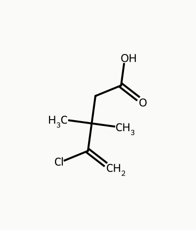 C=C(Cl)C(C)(C)CC(=O)O